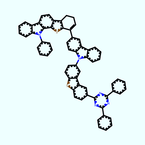 C1=C(c2ccc3c(c2)c2ccccc2n3-c2ccc3sc4ccc(-c5nc(-c6ccccc6)nc(-c6ccccc6)n5)cc4c3c2)c2sc3c(ccc4c5ccccc5n(-c5ccccc5)c43)c2CC1